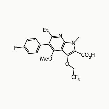 CCc1nc2c(c(OC)c1-c1ccc(F)cc1)c(OCC(F)(F)F)c(C(=O)O)n2C